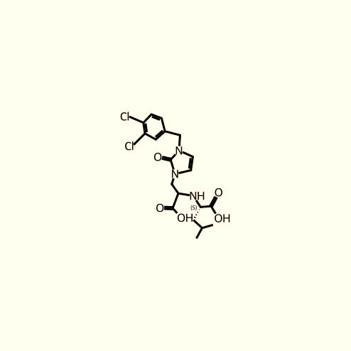 CC(C)C[C@H](NC(Cn1ccn(Cc2ccc(Cl)c(Cl)c2)c1=O)C(=O)O)C(=O)O